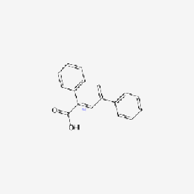 C=C(/C=C(/C(=O)O)c1ccccc1)c1ccccc1